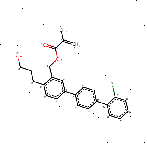 C=C(C)C(=O)OCc1cc(-c2ccc(-c3ccccc3F)cc2)ccc1CCCO